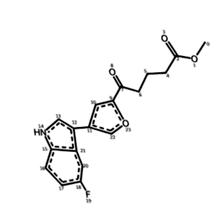 COC(=O)CCCC(=O)c1cc(-c2c[nH]c3ccc(F)cc23)co1